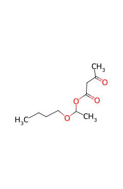 CCCCOC(C)OC(=O)CC(C)=O